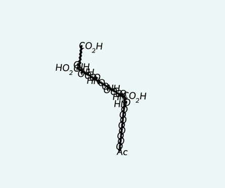 CC(=O)CCOCCOCCOCCOCCOCCOCCOCCOCCNC(=O)CC[C@H](NC(=O)COCCOCCNC(=O)COCCOCCNC(=O)COCCOCCNC(=O)CC[C@H](NC(=O)CCCCCCCCCCC(=O)O)C(=O)O)C(=O)O